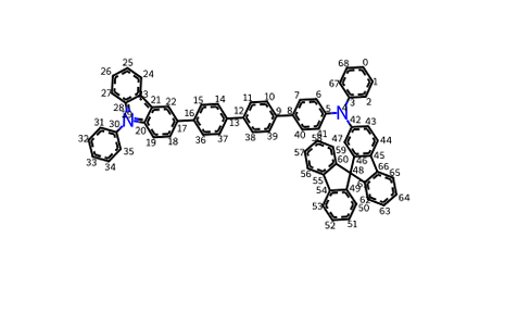 c1ccc(N(c2ccc(-c3ccc(-c4ccc(-c5ccc6c(c5)c5ccccc5n6-c5ccccc5)cc4)cc3)cc2)c2ccc3c(c2)C2(c4ccccc4-c4ccccc42)c2ccccc2-3)cc1